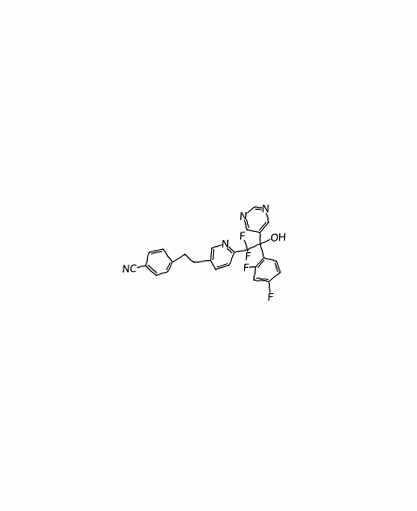 N#Cc1ccc(CCc2ccc(C(F)(F)C(O)(c3cncnc3)c3ccc(F)cc3F)nc2)cc1